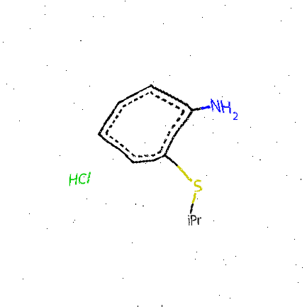 CC(C)Sc1ccccc1N.Cl